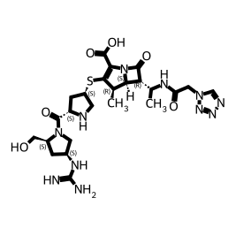 CC(NC(=O)Cn1cnnn1)[C@H]1C(=O)N2C(C(=O)O)=C(S[C@@H]3CN[C@H](C(=O)N4C[C@@H](NC(=N)N)C[C@H]4CO)C3)[C@H](C)[C@H]12